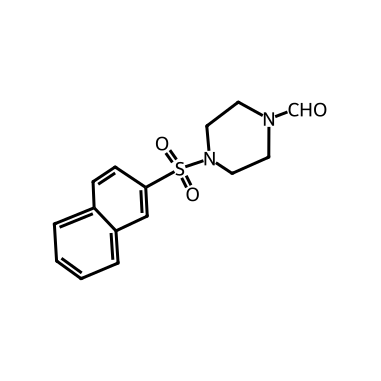 O=CN1CCN(S(=O)(=O)c2ccc3ccccc3c2)CC1